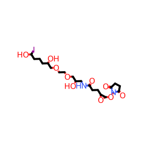 O=C(CCC1OC1ON1C(=O)CCC1=O)NCC(O)COCCOCC(O)CCCC(O)I